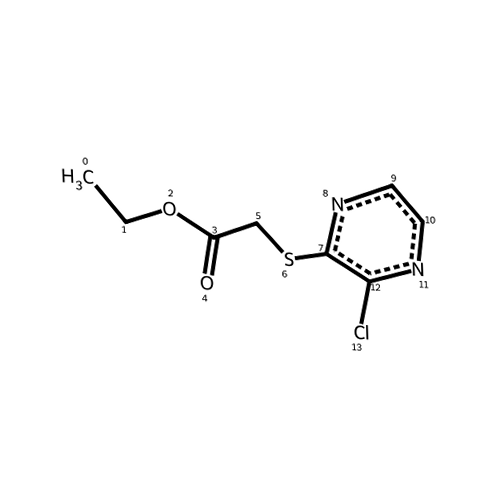 CCOC(=O)CSc1nccnc1Cl